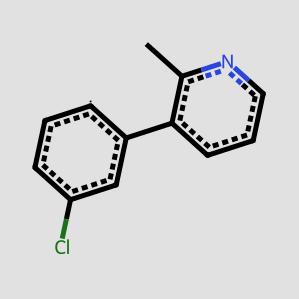 Cc1ncccc1-c1[c]ccc(Cl)c1